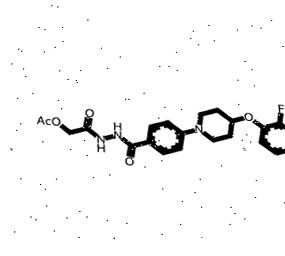 CC(=O)OCC(=O)NNC(=O)c1ccc(N2CCC(Oc3ccccc3F)CC2)cc1